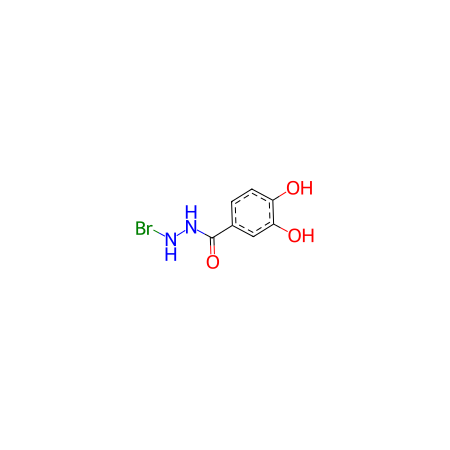 O=C(NNBr)c1ccc(O)c(O)c1